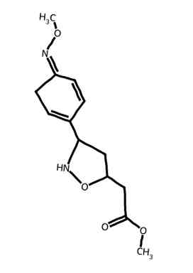 CON=C1C=CC(C2CC(CC(=O)OC)ON2)=CC1